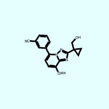 COc1ccc(-c2cccc(C#N)c2)n2nc(C3(CO)CC3)nc12